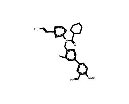 C/C=C/c1cccc(N(Cc2ccc(-c3ccc(NC)c(C=N)c3)cc2F)C(=O)C2CCCCC2)c1